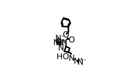 [N-]=[N+]=NCC1(O)CC(NC(=O)OCc2ccccc2)C1.[N-]=[N+]=[N-].[Na+]